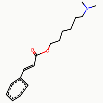 CN(C)CCCCCCOC(=O)/C=C/c1ccccc1